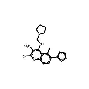 Cc1c(-c2cccs2)ccc2nc(Cl)c([N+](=O)[O-])c(NCN3CCCC3)c12